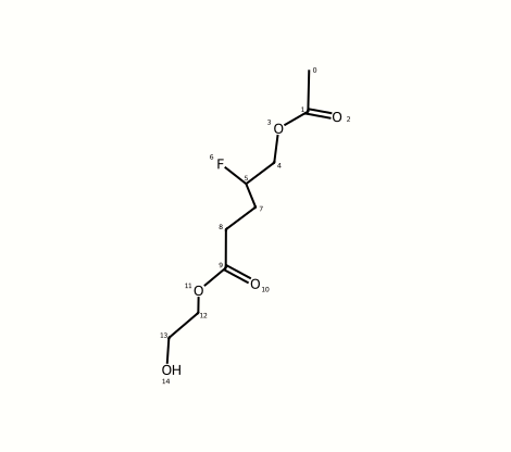 CC(=O)OCC(F)CCC(=O)OCCO